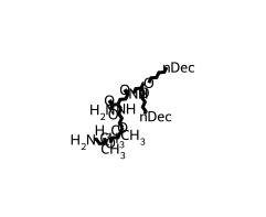 CCCCCCCCCCCCCCOCC(CNC(=O)CCC(NC(=O)CCOC(C)(C)CCOC(C)(C)CCN)C(N)=O)OCCCCCCCCCCCCCC